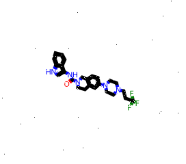 O=C(Nc1c[nH]c2ccccc12)N1CCc2cc(N3CCN(CCC(F)(F)F)CC3)ccc2C1